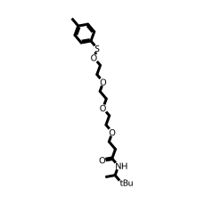 Cc1ccc(SOCCOCCOCCOCCC(=O)NC(C)C(C)(C)C)cc1